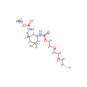 CCCCOC(=O)NCC1(C)CC(NC(=O)OCCOCCOCCF)CC(C)(C)C1